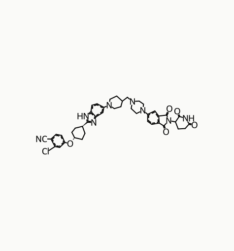 N#Cc1ccc(O[C@H]2CC[C@H](c3nc4cc(N5CCC(CN6CCN(c7ccc8c(c7)C(=O)N(C7CCC(=O)NC7=O)C8=O)CC6)CC5)ccc4[nH]3)CC2)cc1Cl